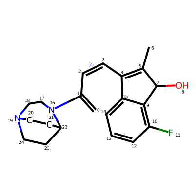 C=C(/C=C\C1=C(C)C(O)c2c(F)cccc21)N1CCN2CCC1CC2